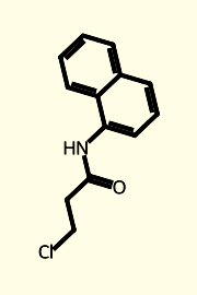 O=C(CCCl)Nc1cccc2ccccc12